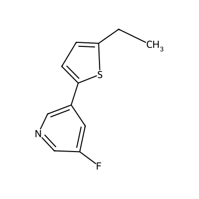 CCc1ccc(-c2cncc(F)c2)s1